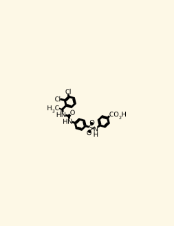 C[C@H](NC(=O)Nc1ccc(S(=O)(=O)Nc2ccc(C(=O)O)cc2)cc1)c1cccc(Cl)c1Cl